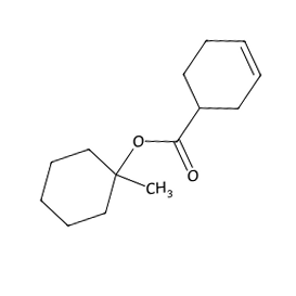 CC1(OC(=O)C2CC=CCC2)CCCCC1